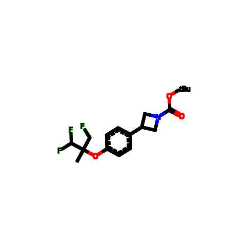 CC(C)(C)OC(=O)N1CC(c2ccc(OC(C)(CF)C(F)F)cc2)C1